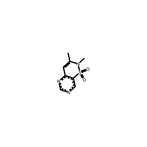 CC1=Cc2ncncc2S(=O)(=O)N1C